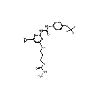 CNC(=O)OCCCNc1cc(C2CC2)nc(NC(=O)Nc2ccc(OC(F)(F)F)cc2)n1